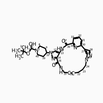 CC(C)(C)OC(O)N1CCC(n2cc3c(n2)C(=O)NCCCCCCn2cc(cn2)-c2cccc(n2)C(=O)N3)CC1